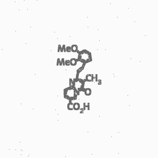 COc1cccc(C=Cc2nc3ccc(C(=O)O)cn3c(=O)c2C)c1OC